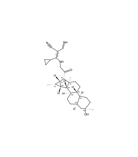 C[C@H]1[C@@H]2[C@H]1[C@H](C(=O)CN/C(=C(/C#N)C=N)C1CC1)[C@@]1(C)CC[C@H]3[C@@H](CC[C@@H]4C[C@](C)(O)CC[C@@H]43)[C@H]21